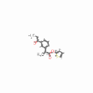 CCC(=O)c1cccc(C(C)C(=O)Oc2cccs2)c1